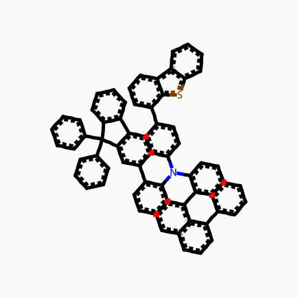 c1ccc(-c2cccc3cccc(-c4ccccc4N(c4ccc(-c5cccc6c5sc5ccccc56)cc4)c4ccccc4-c4ccc5c(c4)C(c4ccccc4)(c4ccccc4)c4ccccc4-5)c23)cc1